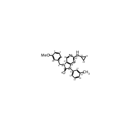 COc1cccc(Cn2c(=O)n(-c3cccc(C)c3)c3nc(NC4CC4)ncc32)c1